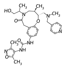 Cc1noc(C)c1NC(=O)Nc1ccc2c(c1)CC(=O)N(C(C)CO)C[C@@H](C)[C@H](CN(C)Cc1ccncc1)O2